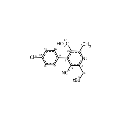 Cc1nc(CC(C)(C)C)c(C#N)c(-c2ccc(Cl)cc2)c1C(=O)O